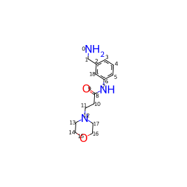 NCc1cccc(NC(=O)CCN2CCOCC2)c1